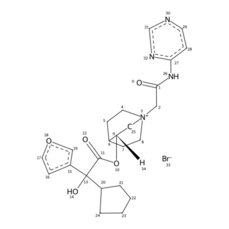 O=C(C[N+]12CCC(CC1)[C@@H](OC(=O)C(O)(c1ccoc1)C1CCCC1)C2)Nc1ccncn1.[Br-]